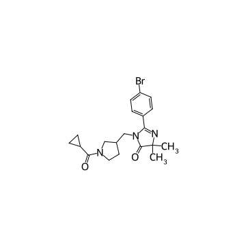 CC1(C)N=C(c2ccc(Br)cc2)N(CC2CCN(C(=O)C3CC3)C2)C1=O